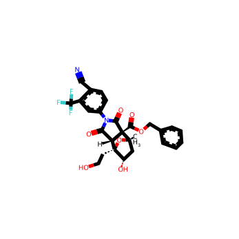 C[C@]12C[C@H](O)[C@](CCO)(O1)[C@@H]1C(=O)N(c3ccc(C#N)c(C(F)(F)F)c3)C(=O)[C@@]12C(=O)OCc1ccccc1